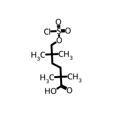 CC(C)(CCC(C)(C)C(=O)O)COS(=O)(=O)Cl